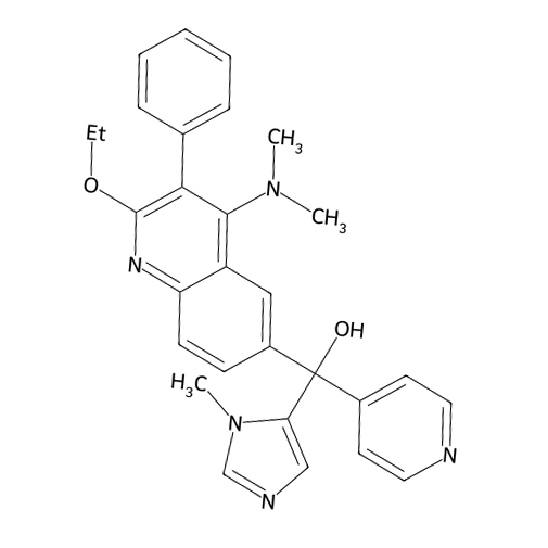 CCOc1nc2ccc(C(O)(c3ccncc3)c3cncn3C)cc2c(N(C)C)c1-c1ccccc1